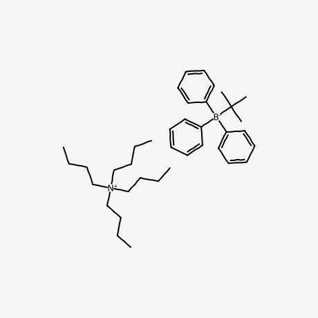 CC(C)(C)[B-](c1ccccc1)(c1ccccc1)c1ccccc1.CCCC[N+](CCCC)(CCCC)CCCC